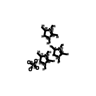 CC1=[N+](C)C(C)CN1C.CC1=[N+](C)C(C)CN1C.CC1=[N+](C)C(C)CN1C.O=P([O-])([O-])[O-]